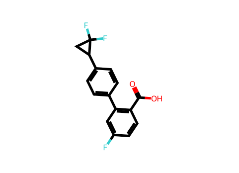 O=C(O)c1ccc(F)cc1-c1ccc(C2CC2(F)F)cc1